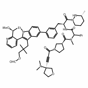 CCn1c(-c2cccnc2[C@H](C)OC)c(CC(C)(C)COC=O)c2cc(-c3cccc(C[C@H](NC(=O)C(C(C)C)N(C)C(=O)[C@H]4CCN(C(=O)C#C[C@@]5(N(C)C)CCOC5)C4)C(=O)N4CCC[C@@H](C)N4)c3)ccc21